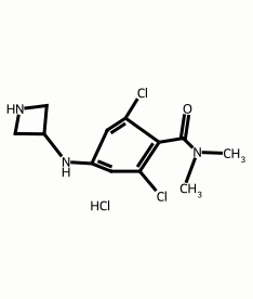 CN(C)C(=O)c1c(Cl)cc(NC2CNC2)cc1Cl.Cl